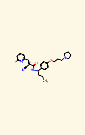 CCCC(NC(=O)/C(C#N)=C/c1cccc(F)n1)c1ccc(OCCCN2CCCC2)cc1